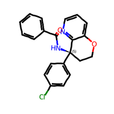 O=C(N[C@]1(c2ccc(Cl)cc2)CCOc2cccnc21)c1ccccc1